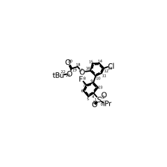 CC(C)S(=O)(=O)c1ccc(F)c(-c2cc(Cl)ccc2OCC(=O)OC(C)(C)C)c1